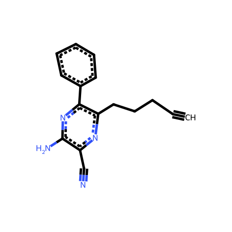 C#CCCCc1nc(C#N)c(N)nc1-c1ccccc1